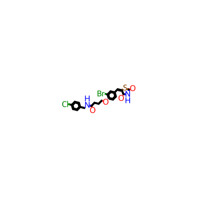 O=C(CCCOc1ccc(C=C2SC(=O)NC2=O)cc1Br)NCc1ccc(Cl)cc1